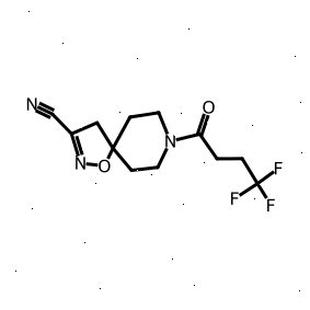 N#CC1=NOC2(CCN(C(=O)CCC(F)(F)F)CC2)C1